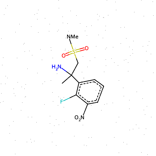 CNS(=O)(=O)CC(C)(N)c1cccc([N+](=O)[O-])c1F